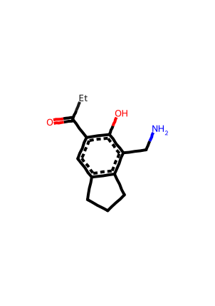 CCC(=O)c1cc2c(c(CN)c1O)CCC2